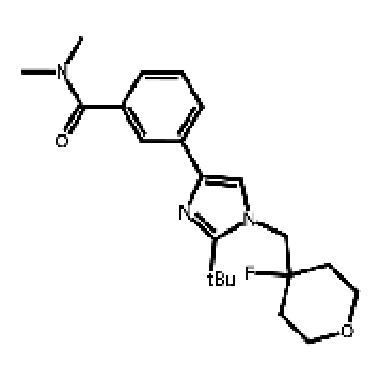 CN(C)C(=O)c1cccc(-c2cn(CC3(F)CCOCC3)c(C(C)(C)C)n2)c1